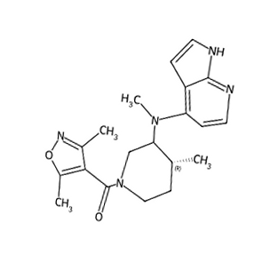 Cc1noc(C)c1C(=O)N1CC[C@@H](C)C(N(C)c2ccnc3[nH]ccc23)C1